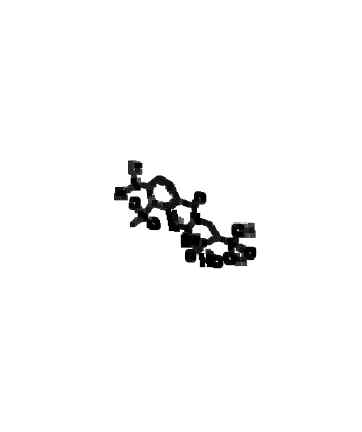 CCN(CC)c1ccc(C(=O)N(CC(P(=O)(O)O)P(=O)(O)O)C(=N)N)cc1S(C)(=O)=O